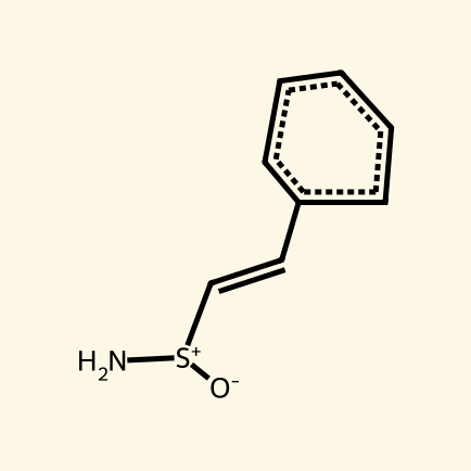 N[S+]([O-])C=Cc1ccccc1